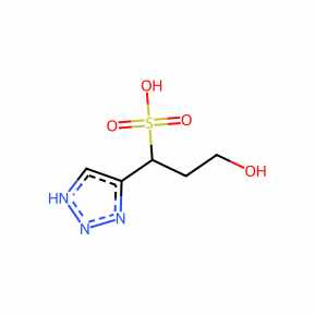 O=S(=O)(O)C(CCO)c1c[nH]nn1